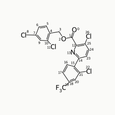 O=C(OCc1ccc(Cl)cc1Cl)c1nc(-c2ccc(C(F)(F)F)cc2Cl)ccc1Cl